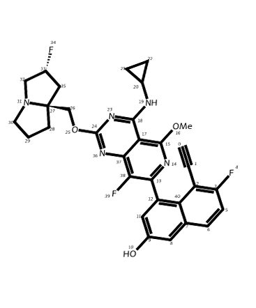 C#Cc1c(F)ccc2cc(O)cc(-c3nc(OC)c4c(NC5CC5)nc(OC[C@@]56CCCN5C[C@H](F)C6)nc4c3F)c12